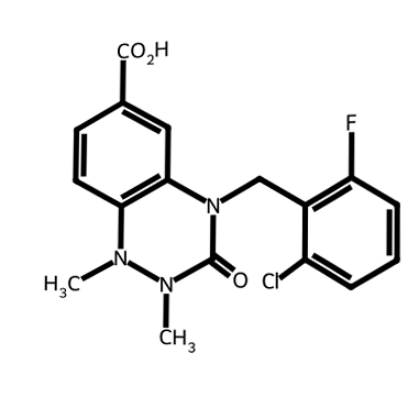 CN1C(=O)N(Cc2c(F)cccc2Cl)c2cc(C(=O)O)ccc2N1C